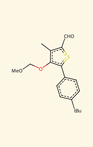 COCOc1c(-c2ccc(C(C)(C)C)cc2)sc(C=O)c1C